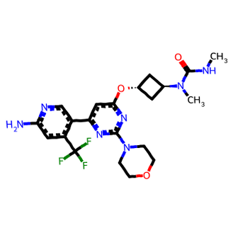 CNC(=O)N(C)[C@H]1C[C@H](Oc2cc(-c3cnc(N)cc3C(F)(F)F)nc(N3CCOCC3)n2)C1